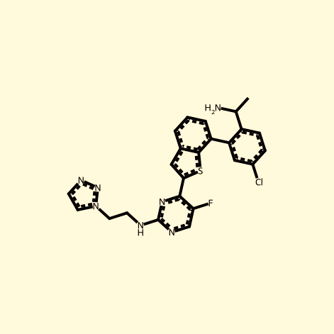 CC(N)c1ccc(Cl)cc1-c1cccc2cc(-c3nc(NCCn4ccnn4)ncc3F)sc12